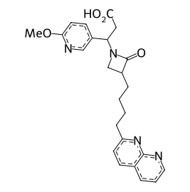 COc1ccc(C(CC(=O)O)N2CC(CCCCc3ccc4cccnc4n3)C2=O)cn1